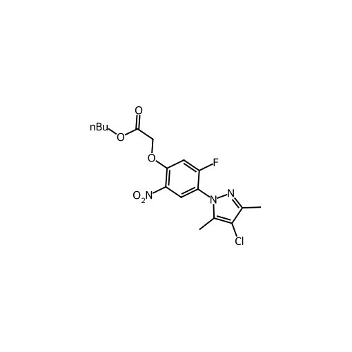 CCCCOC(=O)COc1cc(F)c(-n2nc(C)c(Cl)c2C)cc1[N+](=O)[O-]